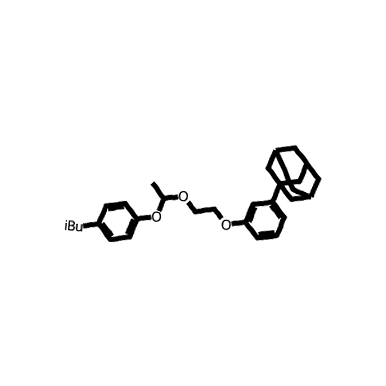 CCC(C)c1ccc(OC(C)OCCOc2cccc(C34CC5CC(CC(C5)C3)C4)c2)cc1